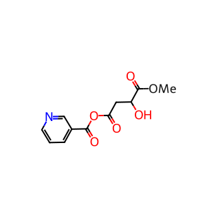 COC(=O)C(O)CC(=O)OC(=O)c1cccnc1